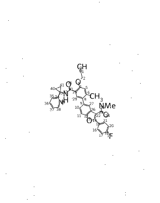 C#CCOc1cc(C)c(-c2ccc3oc(-c4ccc(F)cc4)c(C(=O)NC)c3c2)cc1C(=O)NC1(c2ccccn2)CC1